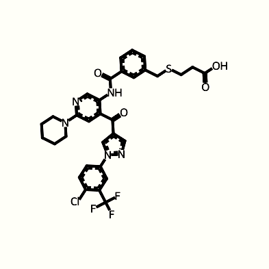 O=C(O)CCSCc1cccc(C(=O)Nc2cnc(N3CCCCC3)cc2C(=O)c2cnn(-c3ccc(Cl)c(C(F)(F)F)c3)c2)c1